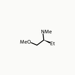 CC[C@@H](COC)NC